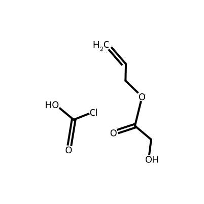 C=CCOC(=O)CO.O=C(O)Cl